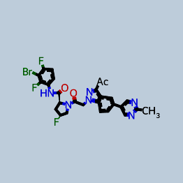 CC(=O)c1nn(CC(=O)N2C[C@H](F)C[C@H]2C(=O)Nc2ccc(F)c(Br)c2F)c2ccc(-c3cnc(C)nc3)cc12